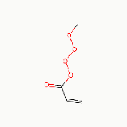 C=CC(=O)OOOOC